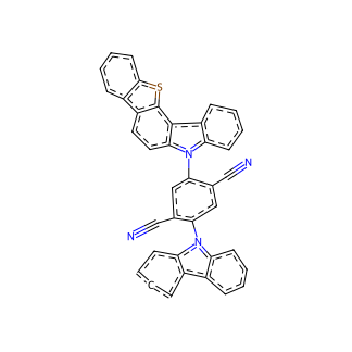 N#Cc1cc(-n2c3ccccc3c3c4sc5ccccc5c4ccc32)c(C#N)cc1-n1c2ccccc2c2ccccc21